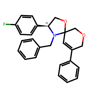 Fc1ccc([C@H]2COC3(C=C(c4ccccc4)COC3)N2Cc2ccccc2)cc1